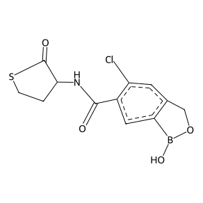 O=C(NC1CCSC1=O)c1cc2c(cc1Cl)COB2O